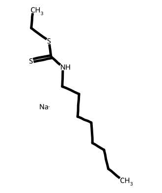 CCCCCCCCNC(=S)SCC.[Na]